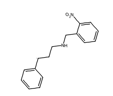 O=[N+]([O-])c1ccccc1CNCC[CH]c1ccccc1